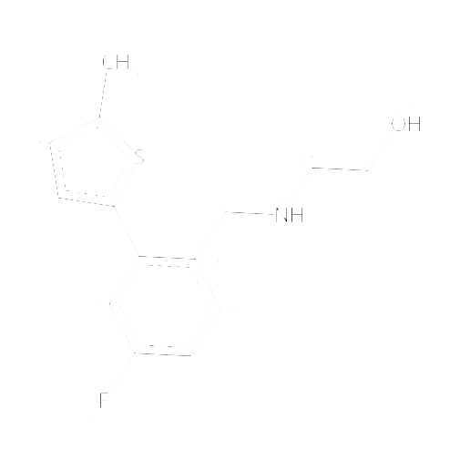 Cc1ccc(-c2cc(F)ccc2CNCCO)s1